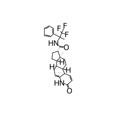 CC(NC(=O)[C@H]1CC[C@H]2[C@@H]3CC=C4NC(=O)C=C[C@]4(C)[C@H]3CC[C@]12C)(c1ccccc1)C(F)(F)F